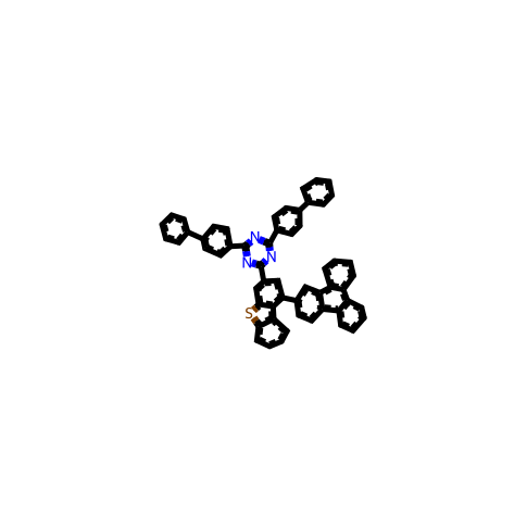 c1ccc(-c2ccc(-c3nc(-c4ccc(-c5ccccc5)cc4)nc(-c4cc(-c5ccc6c7ccccc7c7ccccc7c6c5)c5c(c4)sc4ccccc45)n3)cc2)cc1